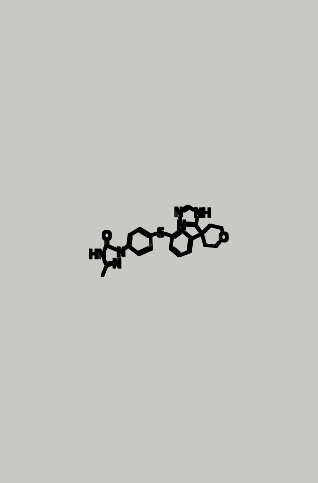 Cc1nn(-c2ccc(Sc3cccc(C4(c5nnc[nH]5)CCOCC4)c3)cc2)c(=O)[nH]1